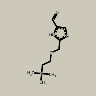 C[Si](C)(C)CCOCc1ncc(C=O)[nH]1